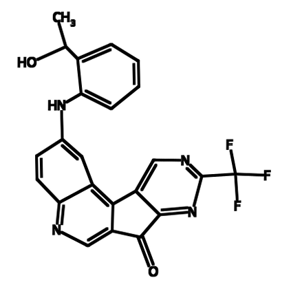 CC(O)c1ccccc1Nc1ccc2ncc3c(c2c1)-c1cnc(C(F)(F)F)nc1C3=O